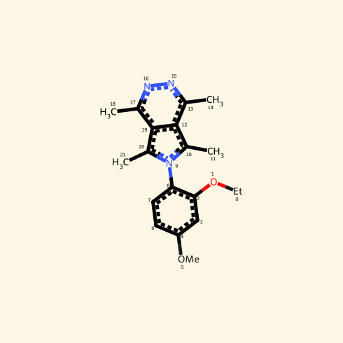 CCOc1cc(OC)ccc1-n1c(C)c2c(C)nnc(C)c2c1C